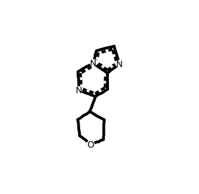 c1cn2cnc(C3CCOCC3)cc2n1